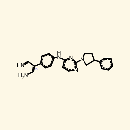 N=C/C(=C\N)c1ccc(Nc2ccnc(N3CCC(c4ccccc4)C3)n2)cc1